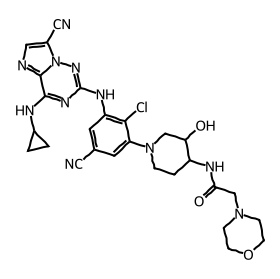 N#Cc1cc(Nc2nc(NC3CC3)c3ncc(C#N)n3n2)c(Cl)c(N2CCC(NC(=O)CN3CCOCC3)C(O)C2)c1